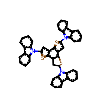 c1ccc2c(c1)c1ccccc1n2-c1cc2c(s1)c1c(c3cc(-n4c5ccccc5c5ccccc54)sc32)SC(n2c3ccccc3c3ccccc32)C1